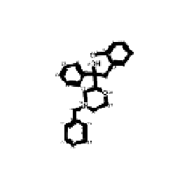 OC(Cc1ccccc1Cl)(c1ccccc1)C1CN(Cc2ccccc2)CCO1